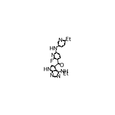 CCNc1ncnc2[nH]cc(C(=O)c3ccc(Nc4ccc(CC)nc4)nc3F)c12